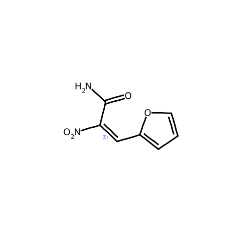 NC(=O)/C(=C\c1ccco1)[N+](=O)[O-]